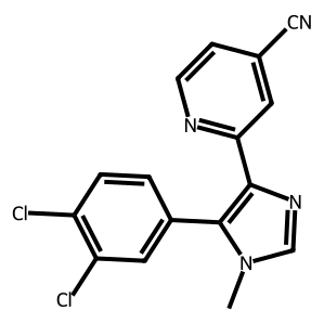 Cn1cnc(-c2cc(C#N)ccn2)c1-c1ccc(Cl)c(Cl)c1